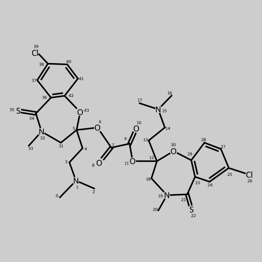 CN(C)CCC1(OC(=O)C(=O)OC2(CCN(C)C)CN(C)C(=S)c3cc(Cl)ccc3O2)CN(C)C(=S)c2cc(Cl)ccc2O1